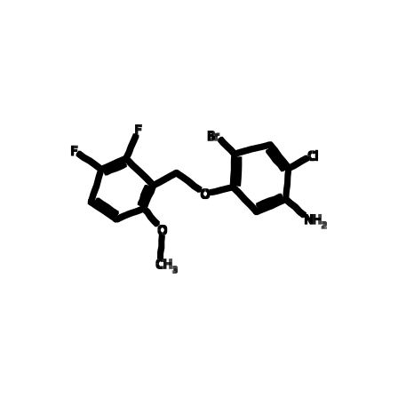 COc1ccc(F)c(F)c1COc1cc(N)c(Cl)cc1Br